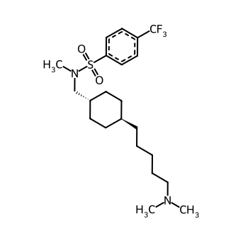 CN(C)CCCCC[C@H]1CC[C@H](CN(C)S(=O)(=O)c2ccc(C(F)(F)F)cc2)CC1